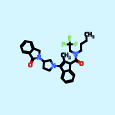 CCCCN(CC(F)(F)F)C(=O)C1C(C)=C(N2CCC(N3Cc4ccccc4C3=O)C2)c2ccccc21